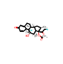 CC(=O)O[C@]1(C(=O)CF)[C@@H](C)C[C@H]2[C@@H]3CCC4=CC(=O)C=C[C@]4(C)[C@@]3(F)[C@@H](O)C[C@@]21C